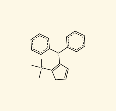 C[Si](C)(C)C1=C(P(c2ccccc2)c2ccccc2)C=CC1